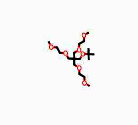 COCCOCC(COCCOC)(COCCOC)COC(C)(C)C